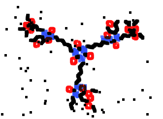 CCCCN(C(=O)NCCCCCCn1c(=O)n(CCCCCCNC(=O)N(CCC[Si](OCC)(OCC)OCC)C(CC(C)=O)C(C)=O)c(=O)n(CCCCCCNC(=O)N(CCC[Si](OCC)(OCC)OCC)C(CC(C)=O)C(C)=O)c1=O)C(CC(=O)OCC)C(=O)OCC